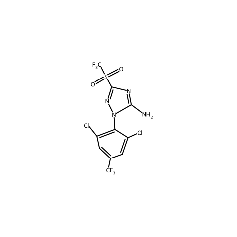 Nc1nc(S(=O)(=O)C(F)(F)F)nn1-c1c(Cl)cc(C(F)(F)F)cc1Cl